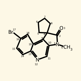 CN1C(=O)C2(CCCC2)c2c1cnc1ccc(Br)cc21